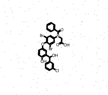 O=C(O)CN(C(=O)c1ccccc1)c1cc(Br)c(Oc2ccc(O)c(C(O)c3cccc(Cl)c3)c2)c(Br)c1